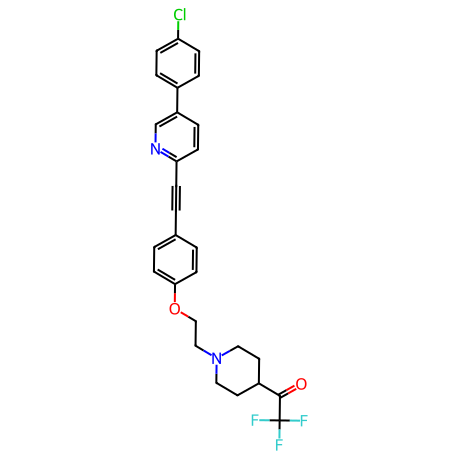 O=C(C1CCN(CCOc2ccc(C#Cc3ccc(-c4ccc(Cl)cc4)cn3)cc2)CC1)C(F)(F)F